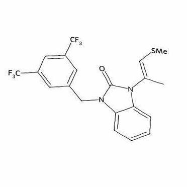 CS/C=C(\C)n1c(=O)n(Cc2cc(C(F)(F)F)cc(C(F)(F)F)c2)c2ccccc21